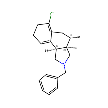 C[C@H]1CC2=C(Cl)CCC=C2[C@@H]2CN(Cc3ccccc3)C[C@]12C